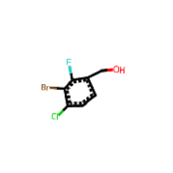 OCc1ccc(Cl)c(Br)c1F